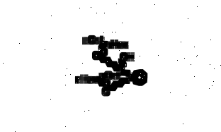 CCCCCCCCC(CCCCCC)COC(=O)CCCCCN(CCO)CCN(CCCCCC(=O)OCC(CCCCCC)CCCCCCCC)C1CCCCCC1